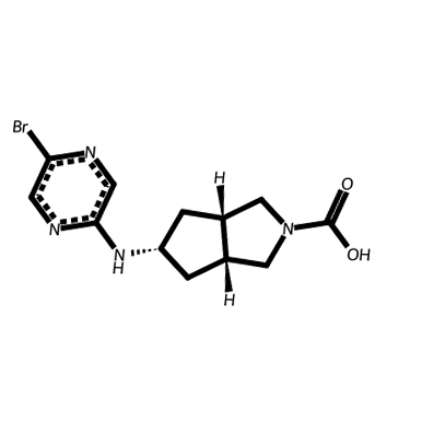 O=C(O)N1C[C@H]2C[C@@H](Nc3cnc(Br)cn3)C[C@H]2C1